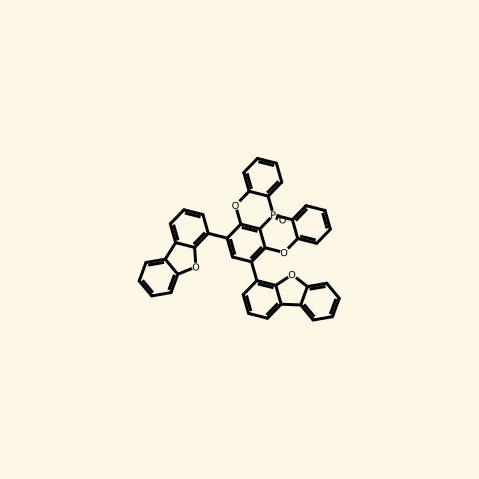 O=P12c3ccccc3Oc3c(-c4cccc5c4oc4ccccc45)cc(-c4cccc5c4oc4ccccc45)c(c31)Oc1ccccc12